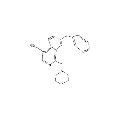 Oc1cnc(CN2CCCCC2)c2cc(Oc3ccccc3)ccc12